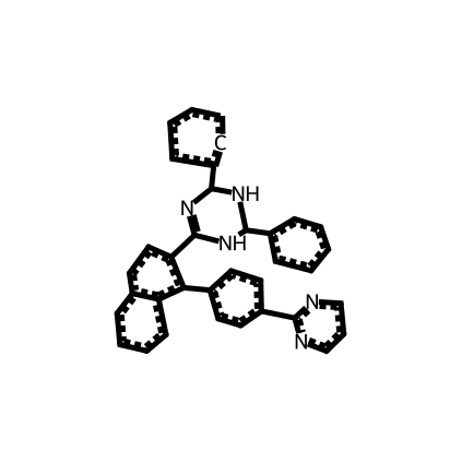 c1ccc(C2N=C(c3ccc4ccccc4c3-c3ccc(-c4ncccn4)cc3)NC(c3ccccc3)N2)cc1